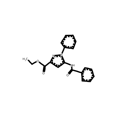 CCOC(=O)c1cc(NC(=O)c2ccccc2)n(-c2ccccc2)n1